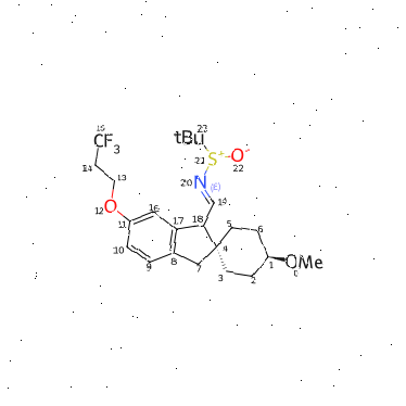 CO[C@H]1CC[C@]2(CC1)Cc1ccc(OCCC(F)(F)F)cc1C2/C=N/[S+]([O-])C(C)(C)C